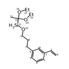 C=Cc1cccc(CCCO[SiH2]C(C)(OCC)OCC)c1